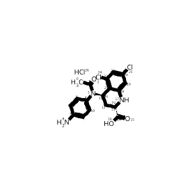 CC(=O)N(c1ccc(N)cc1)[C@@H]1C[C@@H](C(=O)O)Nc2cc(Cl)cc(Cl)c21.Cl